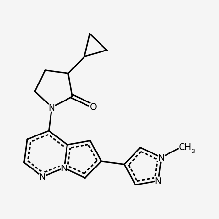 Cn1cc(-c2cc3c(N4CCC(C5CC5)C4=O)ccnn3c2)cn1